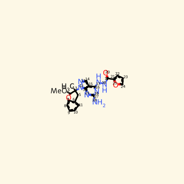 COC(=O)C(C)(Cc1ccccc1)n1ncc2c(NNC(=O)c3ccco3)nc(N)nc21